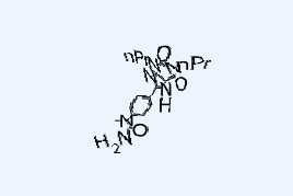 CCCn1c(=O)c2[nH]c(-c3ccc(N(C)C(N)=O)cc3)nc2n(CCC)c1=O